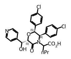 CCCC(C(=O)O)N1C(=O)[C@H](C(O)c2ccncc2)O[C@@H](c2ccc(Cl)cc2)[C@H]1c1ccc(Cl)cc1